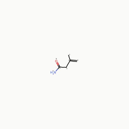 C=C(C)CC(N)=O